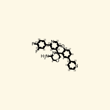 NC1=NC2(COC1)c1cc(-c3cccnc3)ccc1Oc1cnc(-c3ccc(F)c(F)c3)cc12